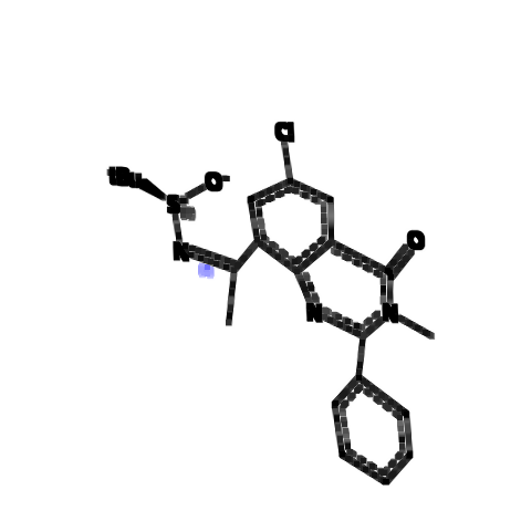 C/C(=N/[S@+]([O-])C(C)(C)C)c1cc(Cl)cc2c(=O)n(C)c(-c3ccccc3)nc12